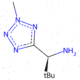 Cn1nnc([C@@H](N)C(C)(C)C)n1